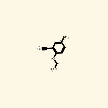 C#Cc1cc(N)ccc1OCC